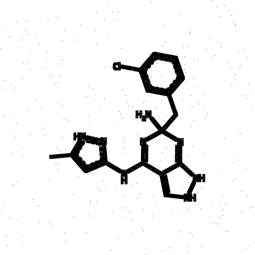 Cc1cc(NC2=NC(N)(Cc3cccc(Cl)c3)N=C3NNC=C32)n[nH]1